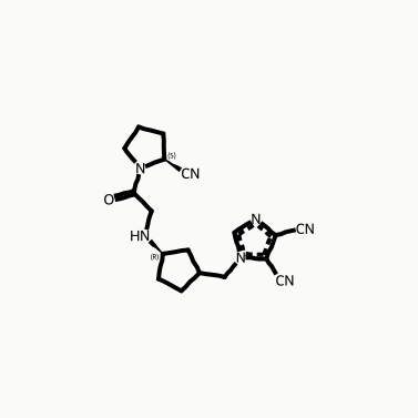 N#Cc1ncn(CC2CC[C@@H](NCC(=O)N3CCC[C@H]3C#N)C2)c1C#N